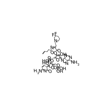 C=CCCC(=O)N(C)[C@@H](CCN1CCCC(F)(F)C1)C(=O)O[C@H]1[C@@H](O)[C@H](n2cnc3c(N)ncnc32)O[C@@H]1COP(=O)(O)[C@@H]1[C@@H](COP(=O)(O)O)OC[C@]1(O)C1C=CC(N)=NC1=O